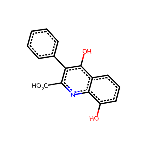 O=C(O)c1nc2c(O)cccc2c(O)c1-c1ccccc1